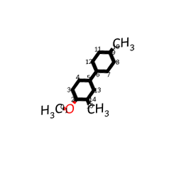 COC1CCC(C2CCC(C)CC2)CC1C